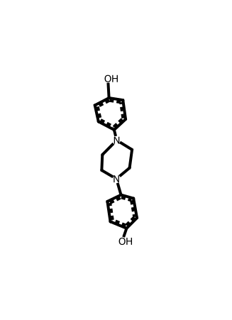 Oc1ccc(N2CCN(c3ccc(O)cc3)CC2)cc1